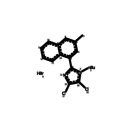 Br.CCCCn1c(-c2cc(C)cc3ccccc23)nc(Cl)c1Cl